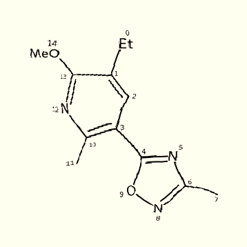 CCc1cc(-c2nc(C)no2)c(C)nc1OC